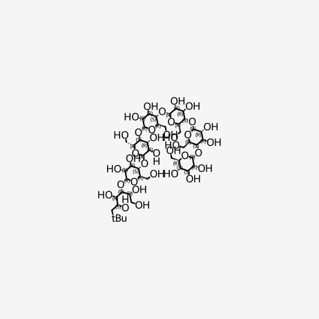 CC(C)(C)C[C@H](O)[C@@H](O)[C@H](O[C@H]1O[C@H](CO)[C@@H](O[C@H]2O[C@H](CO)[C@@H](O[C@H]3O[C@H](CO)[C@@H](O[C@H]4O[C@H](CO)[C@@H](O[C@H]5O[C@H](CO)[C@@H](O[C@H]6O[C@H](CO)[C@@H](O)[C@H](O)[C@H]6O)[C@H](O)[C@H]5O)[C@H](O)[C@H]4O)[C@H](O)[C@H]3O)[C@H](O)[C@H]2O)[C@H](O)[C@H]1O)[C@H](O)CO